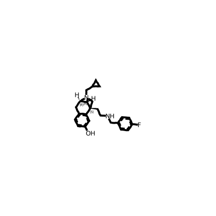 C[C@H]1[C@H]2Cc3ccc(O)cc3[C@@]1(CCNCc1ccc(F)cc1)CN2CC1CC1